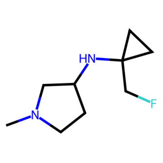 CN1CCC(NC2(CF)CC2)C1